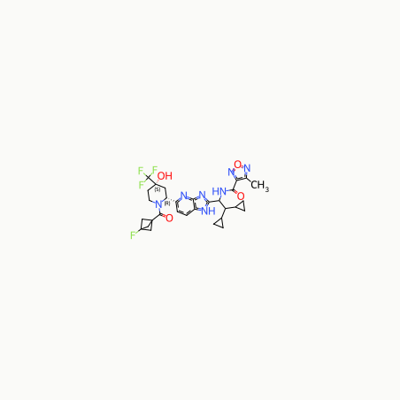 Cc1nonc1C(=O)NC(c1nc2nc([C@H]3C[C@](O)(C(F)(F)F)CCN3C(=O)C34CC(F)(C3)C4)ccc2[nH]1)C(C1CC1)C1CC1